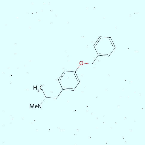 CN[C@H](C)Cc1ccc(OCc2ccccc2)cc1